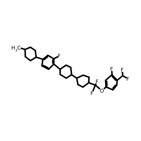 CC1CCC(c2ccc(C3CCC(C4CCC(C(F)(F)Oc5ccc(C(F)F)c(F)c5)CC4)CC3)c(F)c2)CC1